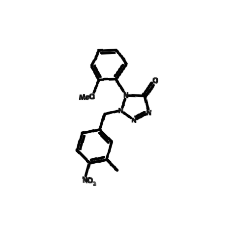 COc1ccccc1-n1c(=O)nnn1Cc1ccc([N+](=O)[O-])c(C)c1